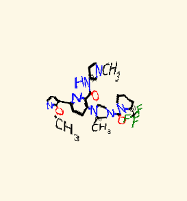 CCOc1ncccc1-c1ccc(N2CCN(C(=O)N3CCCC[C@H]3C(F)(F)F)C[C@H]2CC)c(C(=O)N[C@H]2CCN(C)C2)n1